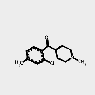 Cc1ccc(C(=O)C2CCN(C)CC2)c(Cl)c1